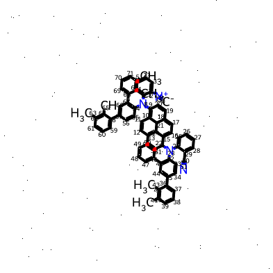 [C-]#[N+]c1ccccc1N(C1=C2C=CC3=C4C(=CC=C(C=C1)C24)C(N(c1ccccc1C#N)c1ccc(-c2cccc(C)c2C)cc1-c1ccccc1)C=C3)c1ccc(-c2cccc(C)c2C)cc1-c1cccc(C)c1C